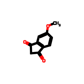 COc1ccc2c(c1)C(=O)CC2=O